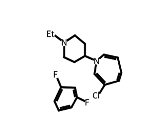 CCN1CCC(N2C=CC=CC(Cl)=C2)CC1.Fc1cccc(F)c1